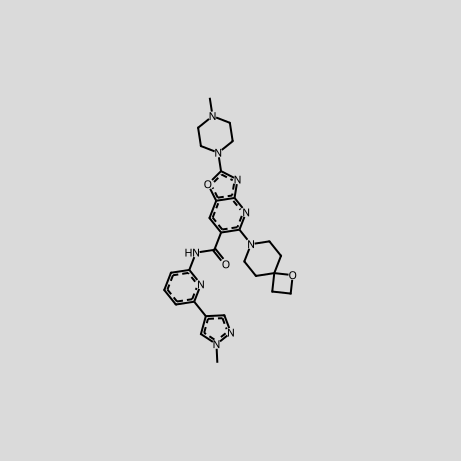 CN1CCN(c2nc3nc(N4CCC5(CCO5)CC4)c(C(=O)Nc4cccc(-c5cnn(C)c5)n4)cc3o2)CC1